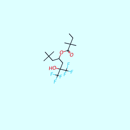 CCC(C)(C)C(=O)OC(CC(C)(C)C)CC(O)(C(F)(F)F)C(F)(F)F